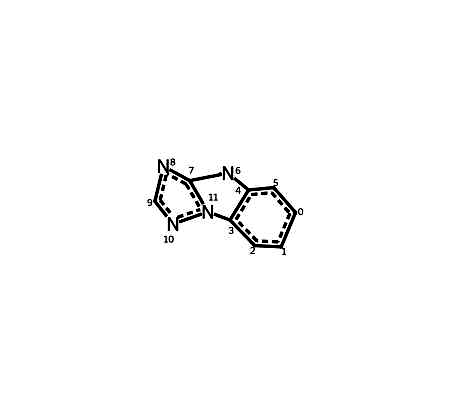 c1ccc2c(c1)[N]c1ncnn1-2